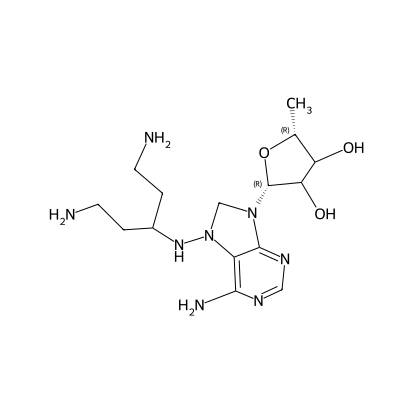 C[C@H]1O[C@@H](N2CN(NC(CCN)CCN)c3c(N)ncnc32)C(O)C1O